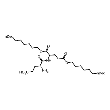 CCCCCCCCCCCCCCCCOC(=O)CC[C@@H](NC(=O)[C@H](N)CCC(=O)O)C(=O)OCCCCCCCCCCCCCCCC